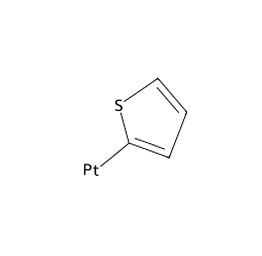 [Pt][c]1cccs1